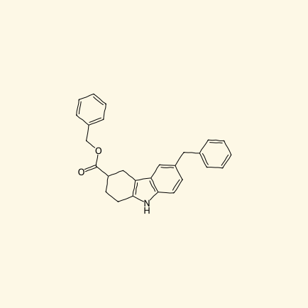 O=C(OCc1ccccc1)C1CCc2[nH]c3ccc(Cc4ccccc4)cc3c2C1